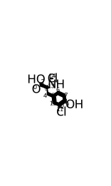 O=C(O)[C@H](Cc1ccc(O)c(Cl)c1)NCl